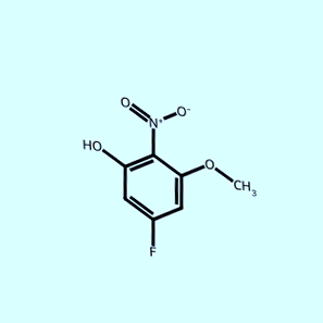 COc1cc(F)cc(O)c1[N+](=O)[O-]